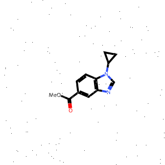 COC(=O)c1ccc2c(c1)ncn2C1CC1